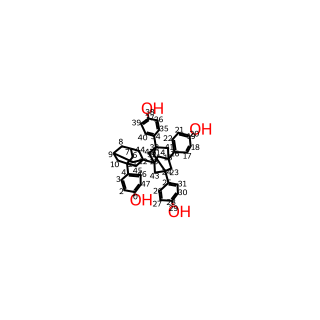 Oc1ccc(C23CC4CC(C2)CC(C25CC6(c7ccc(O)cc7)CC(c7ccc(O)cc7)(CC(c7ccc(O)cc7)(C6)C2)C5)(C4)C3)cc1